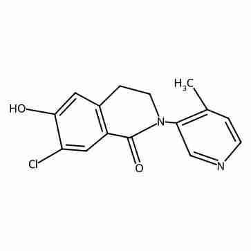 Cc1ccncc1N1CCc2cc(O)c(Cl)cc2C1=O